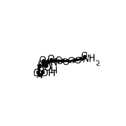 C[C@@H](C(=O)O)N(C)C(=O)CCC(C)(C)SC1CC(=O)N(CCC(=O)NCCOCCOCCOCCOCCC(N)=O)C1=O